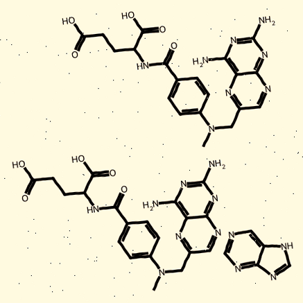 CN(Cc1cnc2nc(N)nc(N)c2n1)c1ccc(C(=O)NC(CCC(=O)O)C(=O)O)cc1.CN(Cc1cnc2nc(N)nc(N)c2n1)c1ccc(C(=O)NC(CCC(=O)O)C(=O)O)cc1.c1ncc2[nH]cnc2n1